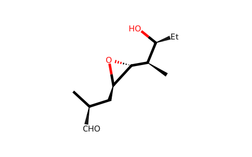 CC[C@H](O)[C@@H](C)[C@H]1O[C@@H]1C[C@H](C)C=O